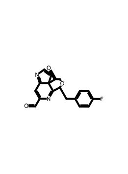 O=CC1=CC2=NC=CC23C(=O)COC(Cc2ccc(F)cc2)C3=N1